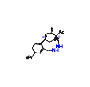 C=C1/C=C(\CC(C)C)C2=CCC(CCC)C=C2CNN/C=C\1C(C)=O